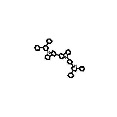 c1ccc(-c2cc(-c3ccccc3)cc(-n3c4ccccc4c4cc(-c5ccc6c(c5)c5ccccc5n6-c5ccc(-c6cc(-c7ccccc7)cc(-c7ccccc7)n6)cc5)ccc43)c2)cc1